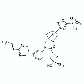 CCOc1ncc(-c2cccc(N(CC34CCC(c5noc(C(C)(C)C)n5)(CC3)CC4)C(=O)C3CC(C)(O)C3)c2)cn1